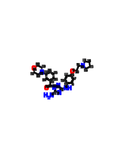 Nc1nc(Nc2ccc(OCCN3CCCC3)cc2)nn1C(=O)c1cccc(N2CCOCC2)c1